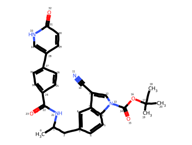 CC(Cc1ccc2c(c1)c(C#N)cn2C(=O)OC(C)(C)C)NC(=O)c1ccc(-c2ccc(=O)[nH]c2)cc1